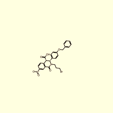 O=C(O)[C@@H]1c2ccc([N+](=O)[O-])cc2C(=O)N(CCCBr)[C@@H]1c1ccc(OCc2ccccc2)cc1